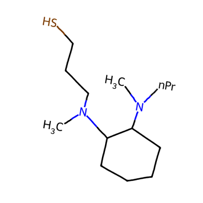 CCCN(C)C1CCCCC1N(C)CCCS